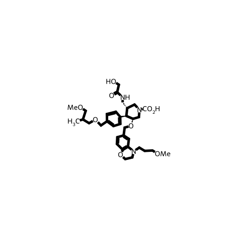 COCCCN1CCOc2ccc(CO[C@H]3CN(C(=O)O)C[C@@H](CNC(=O)CO)[C@@H]3c3ccc(COCC(C)COC)cc3)cc21